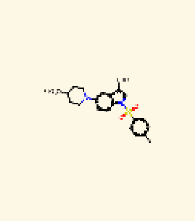 CCOC(=O)C1CCN(c2ccc3c(c2)c(C=O)cn3S(=O)(=O)c2ccc(C)cc2)CC1